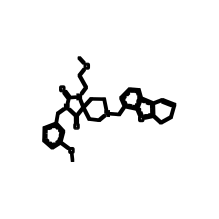 COCCN1C(=O)N(Cc2cccc(OC)c2)C(=O)C12CCN(Cc1cccc3c4c(oc13)CCC=C4)CC2